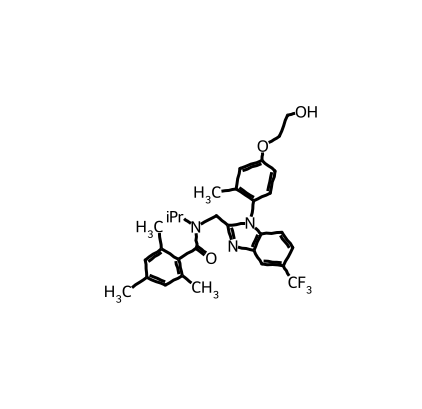 Cc1cc(C)c(C(=O)N(Cc2nc3cc(C(F)(F)F)ccc3n2-c2ccc(OCCO)cc2C)C(C)C)c(C)c1